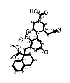 COC(=O)C1(Cc2nc(Cl)nc(N3CCN(C(=O)O)CC3CC#N)c2[N+](=O)[O-])CCCc2ccccc21